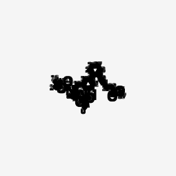 CCS(=O)(=O)NC1CCN(C(=O)OC(C)(C)C)C1Cc1cccc(-c2ccccc2C#CCCC(=O)OC)c1